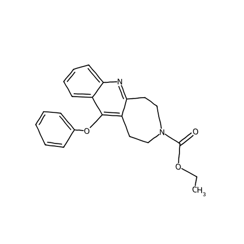 CCOC(=O)N1CCc2nc3ccccc3c(Oc3ccccc3)c2CC1